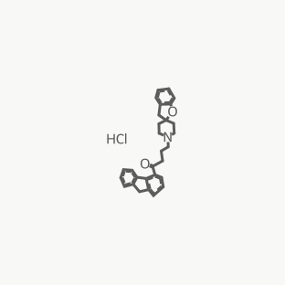 Cl.O=C(CCCN1CCC2(CC1)Cc1ccccc1O2)c1cccc2c1-c1ccccc1C2